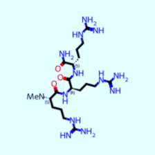 CN[C@@H](CCCNC(=N)N)C(=O)N[C@H](CCCNC(=N)N)C(=O)N[C@@H](CCCNC(=N)N)C(N)=O